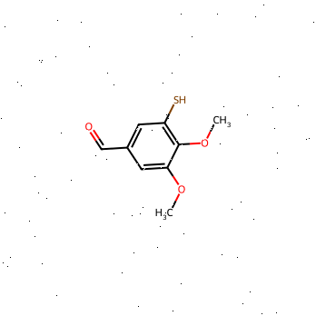 COc1cc(C=O)cc(S)c1OC